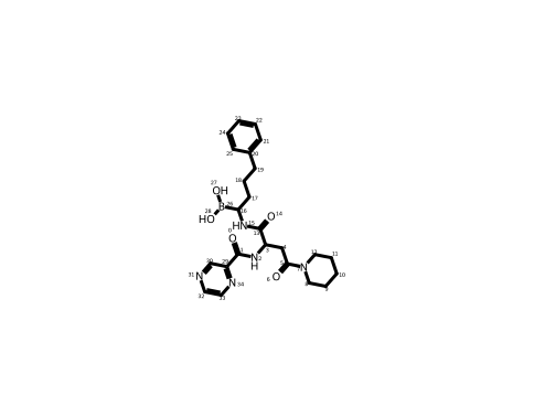 O=C(NC(CC(=O)N1CCCCC1)C(=O)NC(CCCc1ccccc1)B(O)O)c1cnccn1